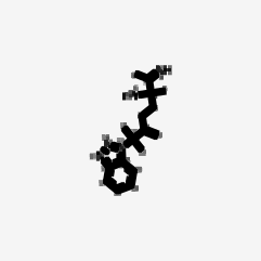 C=C(CCC(C)(CCC)C(C)=N)C(C)(C)n1nnc2ccccc21